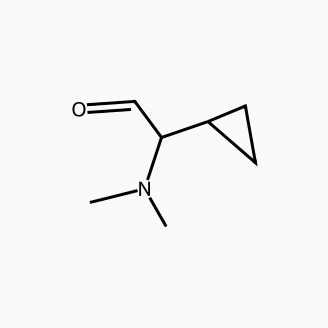 CN(C)C(C=O)C1CC1